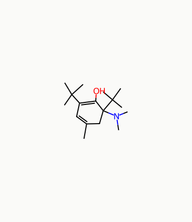 CC1=CC(C(C)(C)C)=C(O)C(N(C)C)(C(C)(C)C)C1